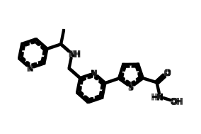 CC(NCc1cccc(-c2ccc(C(=O)NO)s2)n1)c1cccnc1